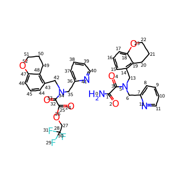 NC(=O)C(=O)N(Cc1ccccn1)Cc1cccc2c1CCCO2.O=C(OCC(F)(F)F)C(=O)N(Cc1ccccn1)Cc1cccc2c1CCCO2